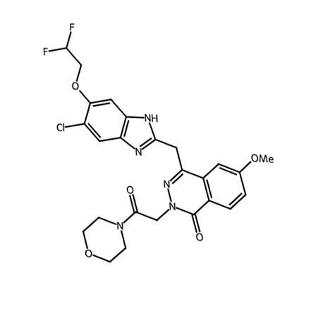 COc1ccc2c(=O)n(CC(=O)N3CCOCC3)nc(Cc3nc4cc(Cl)c(OCC(F)F)cc4[nH]3)c2c1